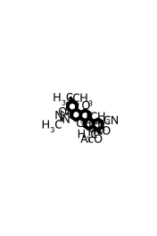 CC(=O)OC[C@]1(C)C(=O)C(C#N)=C[C@]2(C)C3=CC(=O)C4C5CC(C)(C)CC[C@]5(c5nc(C)no5)CC[C@@]4(C)[C@]3(C)CC[C@H]21